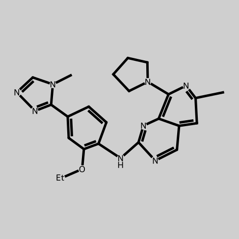 CCOc1cc(-c2nncn2C)ccc1Nc1ncc2cc(C)nc(N3CCCC3)c2n1